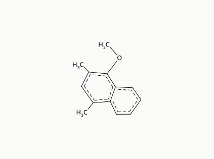 COc1c(C)cc(C)c2ccccc12